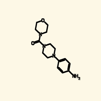 Nc1ccc(N2CCN(C(=O)N3CCOCC3)CC2)cc1